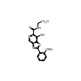 COc1ccccc1-c1nc2cnc(C(=O)NCC(=O)O)c(O)c2s1